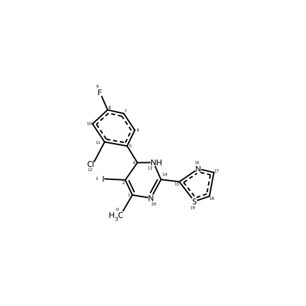 CC1=C(I)C(c2ccc(F)cc2Cl)NC(c2nccs2)=N1